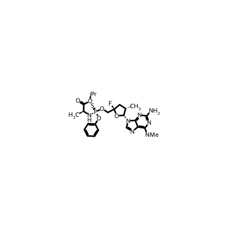 CNc1nc(N)nc2c1ncn2[C@@H]1O[C@](F)(CO[P@@](=S)(N[C@@H](C)C(=O)OC(C)C)Oc2ccccc2)C[C@@H]1C